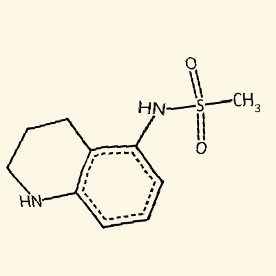 CS(=O)(=O)Nc1cccc2c1CCCN2